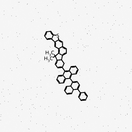 CC1(C)C2=CC=C(c3c4ccccc4c(C4=CC=C(c5ccccc5)C5C=CC=CC45)c4ccccc34)CC2c2ccc3cc4sc5ccccc5c4cc3c21